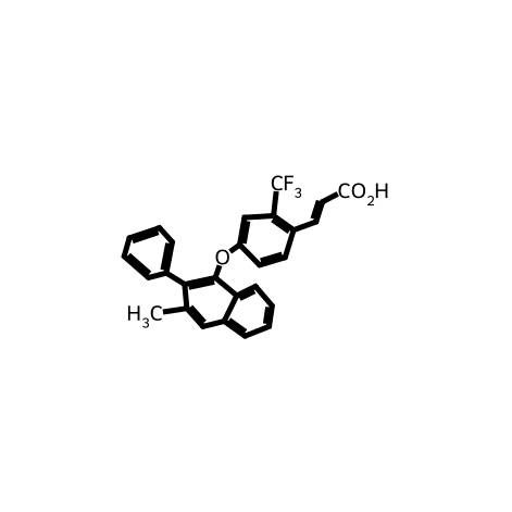 Cc1cc2ccccc2c(Oc2ccc(/C=C/C(=O)O)c(C(F)(F)F)c2)c1-c1ccccc1